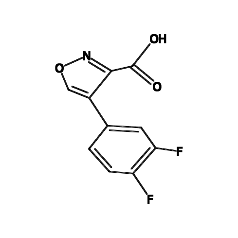 O=C(O)c1nocc1-c1ccc(F)c(F)c1